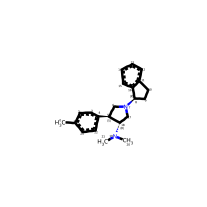 Cc1ccc([C@H]2CN([C@@H]3CCc4ccccc43)C[C@@H]2N(C)C)cc1